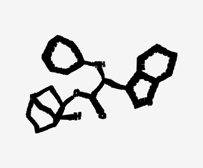 O=C(O[C@H]1CN2CCC1CC2)[C@@H](Nc1ccccc1)c1csc2ccccc12